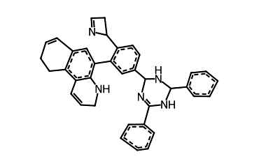 C1=Cc2cc(-c3cc(C4N=C(c5ccccc5)NC(c5ccccc5)N4)ccc3C3CC=N3)c3c(c2CC1)C=CCN3